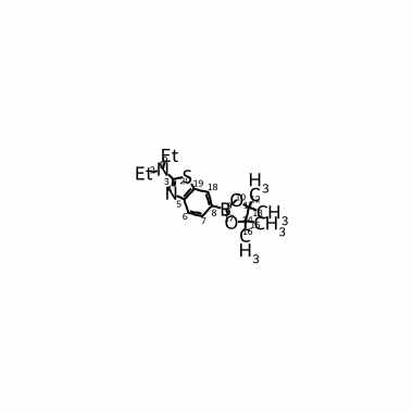 CCN(CC)c1nc2ccc(B3OC(C)(C)C(C)(C)O3)cc2s1